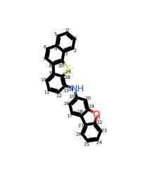 c1ccc2c(c1)ccc1c3cccc(Nc4ccc5c(c4)oc4ccccc45)c3sc21